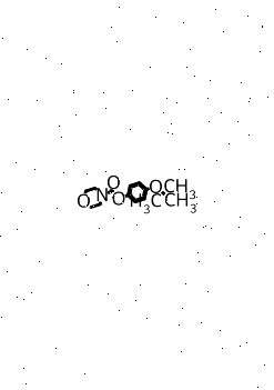 CC(C)(C)Oc1ccc(OC(=O)N2CCOCC2)cc1